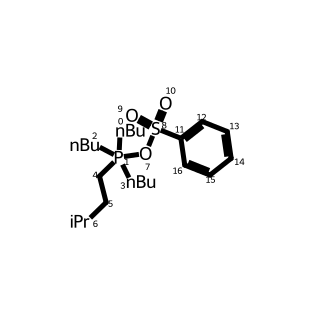 CCCCP(CCCC)(CCCC)(CCC(C)C)OS(=O)(=O)c1ccccc1